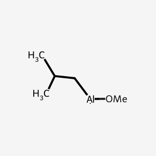 C[O][Al][CH2]C(C)C